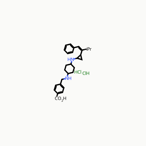 CC(C)C(=Cc1ccccc1)C1CC1NC1CCC(NCc2ccc(C(=O)O)cc2)CC1.Cl.Cl